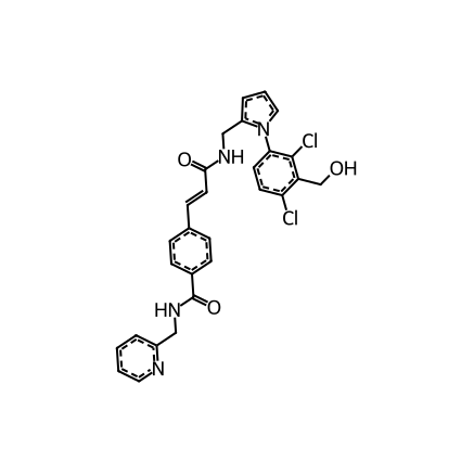 O=C(C=Cc1ccc(C(=O)NCc2ccccn2)cc1)NCc1cccn1-c1ccc(Cl)c(CO)c1Cl